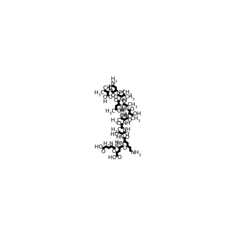 CC(C)CC(NC(=O)C(C)NC(=O)C(NC(=O)C(NC(=O)C(C)NC(=O)C(CO)NC(=O)C(CCCCN)NC(=O)C(CCC(=O)O)NC(=O)C(N)CCC(=O)O)C(C)C)C(C)O)C(=O)NC(C(=O)NC(CC(N)=O)C(=O)NC(C(=O)O)C(C)C)C(C)C